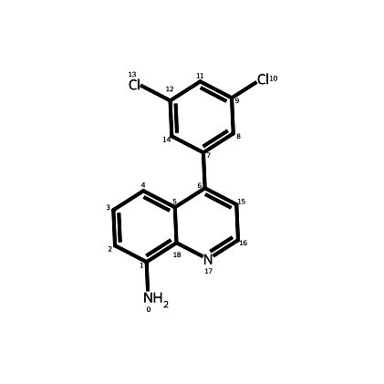 Nc1cccc2c(-c3cc(Cl)cc(Cl)c3)ccnc12